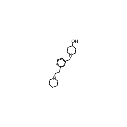 OC1CCN(Cc2cccc(CCN3CCCCC3)c2)CC1